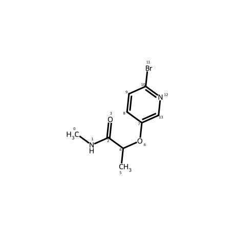 CNC(=O)C(C)Oc1ccc(Br)nc1